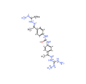 CN/C(=N/N)N/N=C(\C)c1ccc(NC(=O)Nc2ccc(/C(C)=N/N/C(=N\N)NN)cc2)cc1